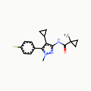 Cn1nc(NC(=O)C2(C(F)(F)F)CC2)c(C2CC2)c1-c1ccc(F)cc1